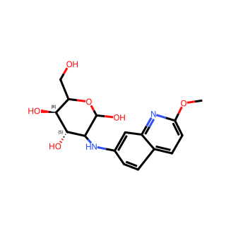 COc1ccc2ccc(NC3C(O)OC(CO)[C@H](O)[C@H]3O)cc2n1